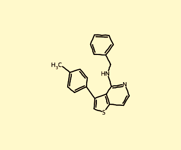 Cc1ccc(-c2csc3ccnc(NCc4ccccc4)c23)cc1